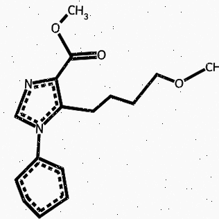 COCCCCc1c(C(=O)OC)ncn1-c1ccccc1